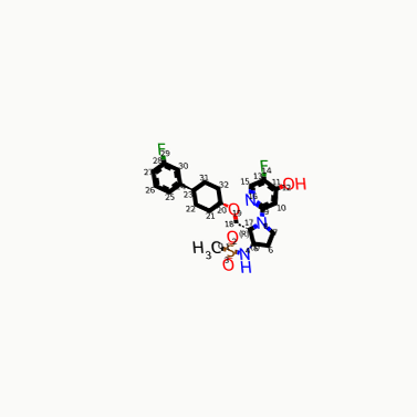 CS(=O)(=O)N[C@H]1CCN(c2cc(O)c(F)cn2)[C@H]1CO[C@H]1CC[C@@H](c2cccc(F)c2)CC1